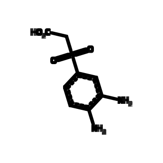 Nc1ccc(S(=O)(=O)CC(=O)O)cc1N